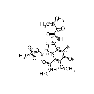 CNC(=O)c1c(OC)c(=O)c(I)c2n1[C@H](COS(C)(=O)=O)CC2NC(=O)C(=O)N(C)C